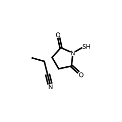 CCC#N.O=C1CCC(=O)N1S